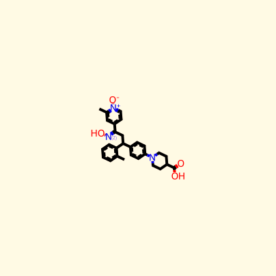 Cc1ccccc1C(C/C(=N/O)c1cc[n+]([O-])c(C)c1)c1ccc(N2CCC(C(=O)O)CC2)cc1